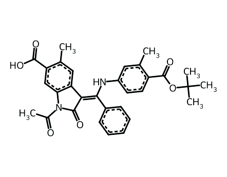 CC(=O)N1C(=O)C(=C(Nc2ccc(C(=O)OC(C)(C)C)c(C)c2)c2ccccc2)c2cc(C)c(C(=O)O)cc21